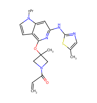 C=CC(=O)N1CC(C)(Oc2nc(Nc3ncc(C)s3)cc3c2ccn3CCC)C1